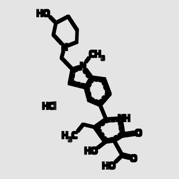 CCc1c(-c2ccc3c(c2)cc(CN2CCCC(O)C2)n3C)[nH]c(=O)c(C(=O)O)c1O.Cl